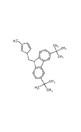 CC1=CC(CC2c3ccc(C(C)(C)C)cc3-c3cc(C(C)(C)C)ccc32)C=C1